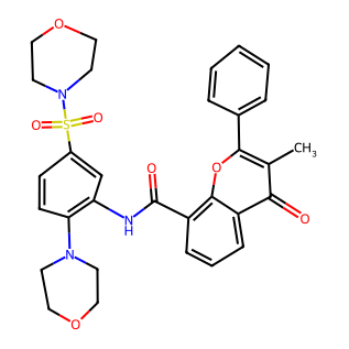 Cc1c(-c2ccccc2)oc2c(C(=O)Nc3cc(S(=O)(=O)N4CCOCC4)ccc3N3CCOCC3)cccc2c1=O